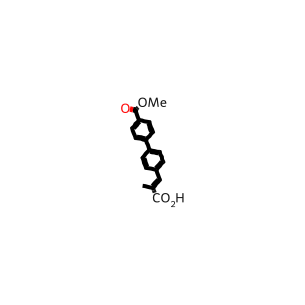 COC(=O)c1ccc(-c2ccc(C=C(C)C(=O)O)cc2)cc1